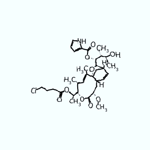 CO[C@H]1C[C@H]2C=C[C@@H]3C[C@]2(O[C@H]3[C@H](OC(=O)c2ccc[nH]2)[C@H](C)[C@H](C)O)/C(C)=C/[C@@H](C)[C@@H]([C@@H](C)OC(=O)CCCCl)OC1=O